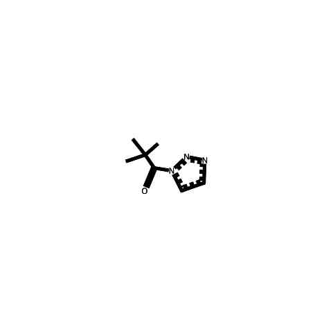 CC(C)(C)C(=O)n1ccnn1